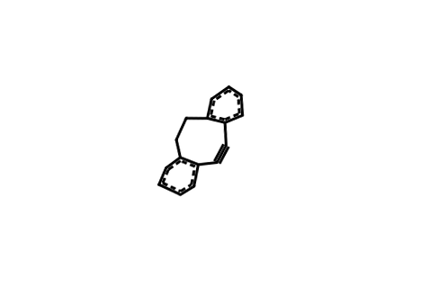 C1#Cc2ccccc2CCc2ccccc21